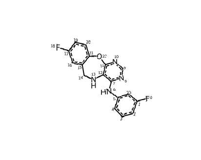 Fc1cccc(Nc2ncnc3c2NCc2cc(F)ccc2O3)c1